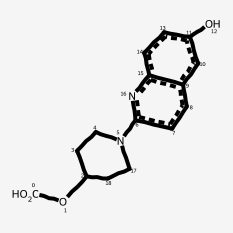 O=C(O)OC1CCN(c2ccc3cc(O)ccc3n2)CC1